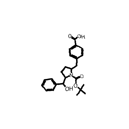 CC(C)(C)OC(=O)N1C(Cc2ccc(C(=O)O)cc2)CCC1C(O)c1ccccc1